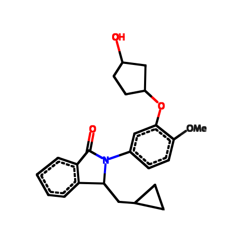 COc1ccc(N2C(=O)c3ccccc3C2CC2CC2)cc1OC1CCC(O)C1